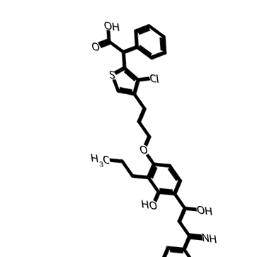 CCCc1c(OCCCc2csc(C(C(=O)O)c3ccccc3)c2Cl)ccc(C(O)CC(=N)c2ccccc2)c1O